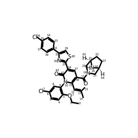 CCOc1ccc(Cl)cc1-n1c(C=C(C)C)c(C(=O)N2C[C@H]3CC[C@@H](C2)N3)cc(-c2nc(-c3ccc(Cl)cc3)cs2)c1=O